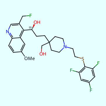 COc1ccc2ncc(CF)c([C@@H](O)CCC3(CO)CCN(CCSc4c(F)cc(F)cc4F)CC3)c2c1